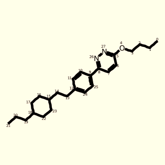 CCCCOc1ccc(-c2ccc(CCC3CCC(CCC)CC3)cc2)nn1